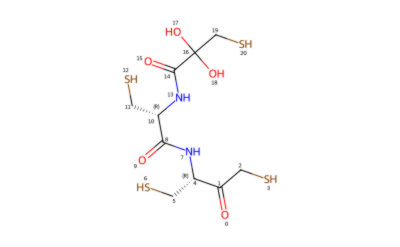 O=C(CS)[C@H](CS)NC(=O)[C@H](CS)NC(=O)C(O)(O)CS